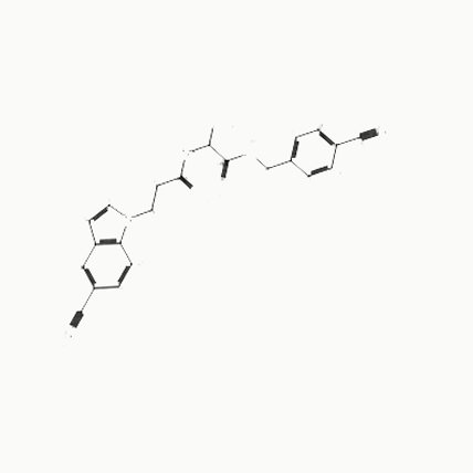 CC(NC(=O)CCn1ccc2cc(C#N)ccc21)C(=O)OCc1ccc(C#N)cc1